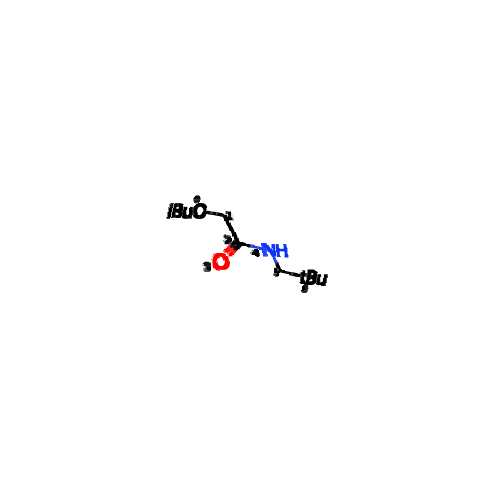 CC(C)COCC(=O)NCC(C)(C)C